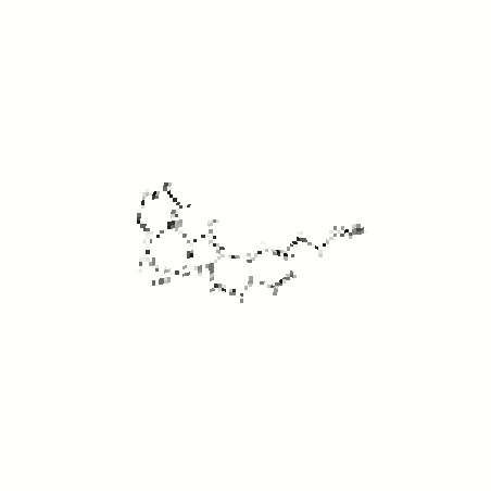 CCOC(=O)COc1ccc2ccn3c(N)c(-c4ccccc4C)nc3c2c1